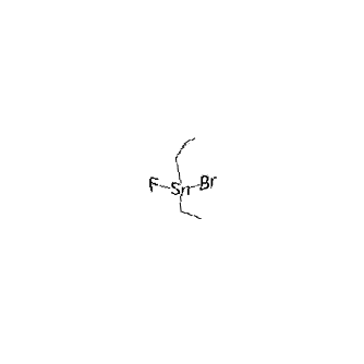 C[CH2][Sn]([F])([Br])[CH2]C